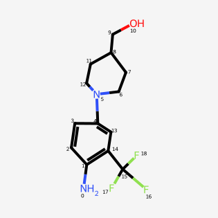 Nc1ccc(N2CCC(CO)CC2)cc1C(F)(F)F